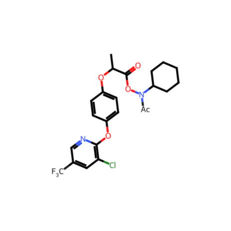 CC(=O)N(OC(=O)C(C)Oc1ccc(Oc2ncc(C(F)(F)F)cc2Cl)cc1)C1CCCCC1